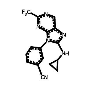 N#Cc1cccc(-n2c(NC3CC3)nc3cnc(C(F)(F)F)nc32)c1